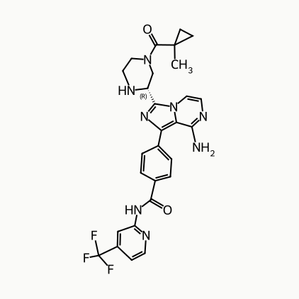 CC1(C(=O)N2CCN[C@@H](c3nc(-c4ccc(C(=O)Nc5cc(C(F)(F)F)ccn5)cc4)c4c(N)nccn34)C2)CC1